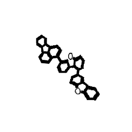 c1ccc2c(c1)-c1cccc3c(-c4cccc5c4oc4cccc(-c6ccc7oc8ccccc8c7c6)c45)ccc-2c13